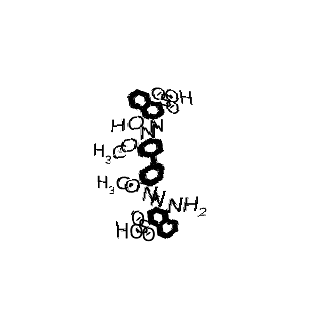 COc1cc(-c2ccc(N=Nc3cc(S(=O)(=O)O)c4ccccc4c3O)c(OC)c2)ccc1N=Nc1cc(S(=O)(=O)O)c2ccccc2c1N